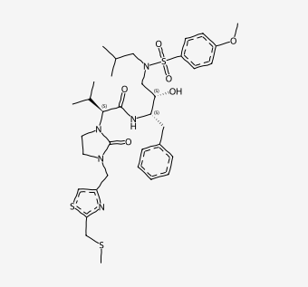 COc1ccc(S(=O)(=O)N(CC(C)C)C[C@H](O)[C@H](Cc2ccccc2)NC(=O)[C@H](C(C)C)N2CCN(Cc3csc(CSC)n3)C2=O)cc1